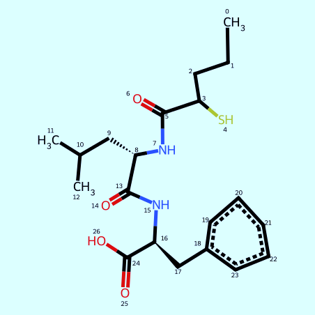 CCCC(S)C(=O)N[C@@H](CC(C)C)C(=O)N[C@@H](Cc1ccccc1)C(=O)O